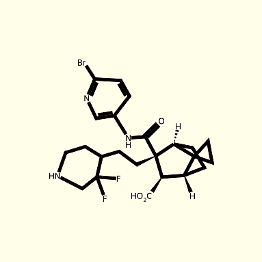 O=C(O)[C@@H]1[C@H]2CC[C@@H](C23CC3)[C@@]1(CCC1CCNCC1(F)F)C(=O)Nc1ccc(Br)nc1